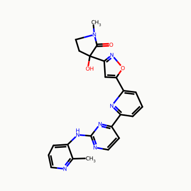 Cc1ncccc1Nc1nccc(-c2cccc(-c3cc(C4(O)CCN(C)C4=O)no3)n2)n1